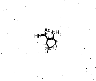 CC(=O)C(=N)C1=C(N)CO[C@@H](C)C1